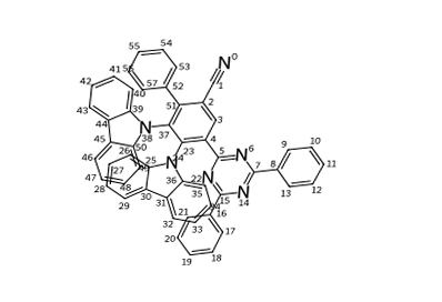 N#Cc1cc(-c2nc(-c3ccccc3)nc(-c3ccccc3)n2)c(-n2c3ccccc3c3ccccc32)c(-n2c3ccccc3c3ccccc32)c1-c1ccccc1